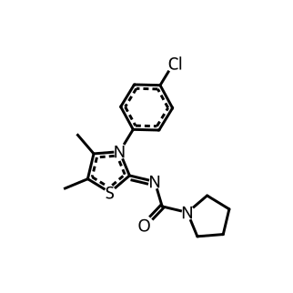 Cc1s/c(=N\C(=O)N2CCCC2)n(-c2ccc(Cl)cc2)c1C